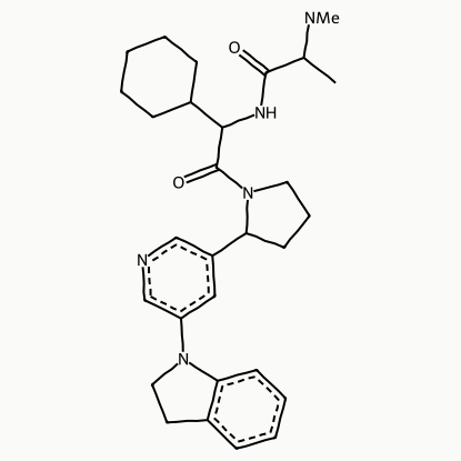 CNC(C)C(=O)NC(C(=O)N1CCCC1c1cncc(N2CCc3ccccc32)c1)C1CCCCC1